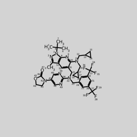 Cc1nn(C(C)(C)C)c2nc(N(CC3CC3)CC3CC3)c(CN(Cc3cc(C(F)(F)F)cc(C(F)(F)F)c3)c3ncc(N4CCOC4=O)cn3)cc12